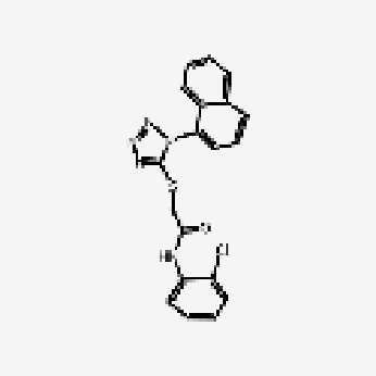 O=C(CSc1nnnn1-c1cccc2ccccc12)Nc1ccccc1Cl